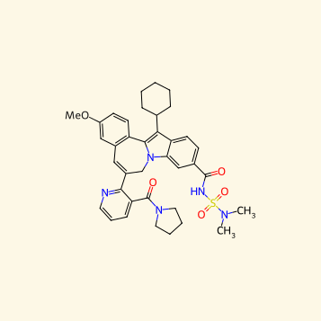 COc1ccc2c(c1)C=C(c1ncccc1C(=O)N1CCCC1)Cn1c-2c(C2CCCCC2)c2ccc(C(=O)NS(=O)(=O)N(C)C)cc21